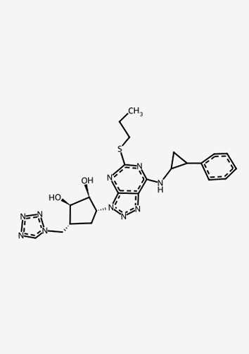 CCCSc1nc(NC2CC2c2ccccc2)c2nnn([C@@H]3C[C@H](Cn4cnnn4)[C@@H](O)[C@H]3O)c2n1